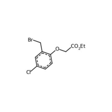 CCOC(=O)COc1ccc(Cl)cc1CBr